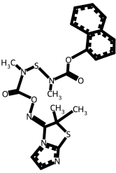 CN(SN(C)C(=O)Oc1cccc2ccccc12)C(=O)ON=C1n2ccnc2SC1(C)C